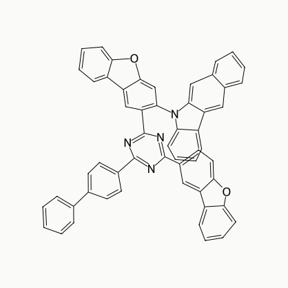 c1ccc(-c2ccc(-c3nc(-c4ccc5oc6ccccc6c5c4)nc(-c4cc5c(cc4-n4c6ccccc6c6cc7ccccc7cc64)oc4ccccc45)n3)cc2)cc1